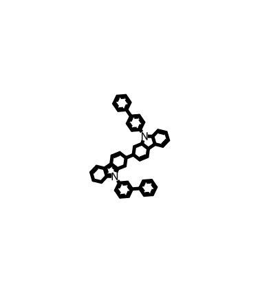 C1=CC2C3C=CC(C4C=Cc5c6c(n(-c7cccc(-c8ccccc8)c7)c5C4)CCC=C6)CC3N(c3ccc(-c4ccccc4)cc3)C2C=C1